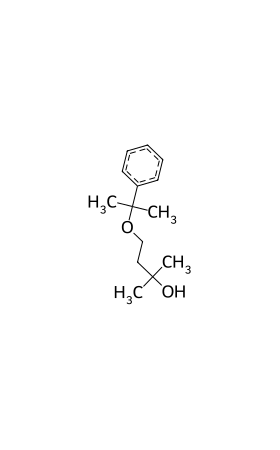 CC(C)(O)CCOC(C)(C)c1ccccc1